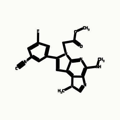 [C-]#[N+]c1cc(F)cc(-c2cc3c4c(ncn4C)c(NC)nc3n2CC(=O)OC)c1